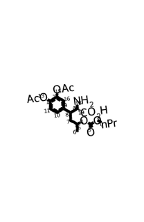 CCCOC(=O)OC(C)CC(c1ccc(OC(C)=O)c(OC(C)=O)c1)[C@H](N)C(=O)O